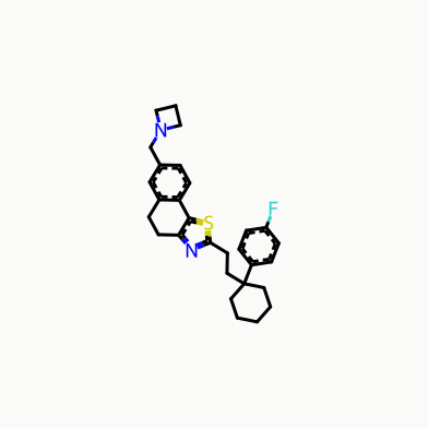 Fc1ccc(C2(CCc3nc4c(s3)-c3ccc(CN5CCC5)cc3CC4)CCCCC2)cc1